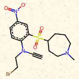 C#CN(CCBr)c1ccc([N+](=O)[O-])cc1S(=O)(=O)C1CCCN(C)CC1